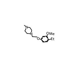 CCc1ccc(OCCN2CCN(C)CC2)cc1OC